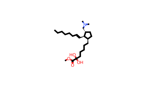 CCCCCCC=C[C@@H]1[C@H](CCCCCC(O)(O)C(=O)OC)CC[C@H]1CN(C)C